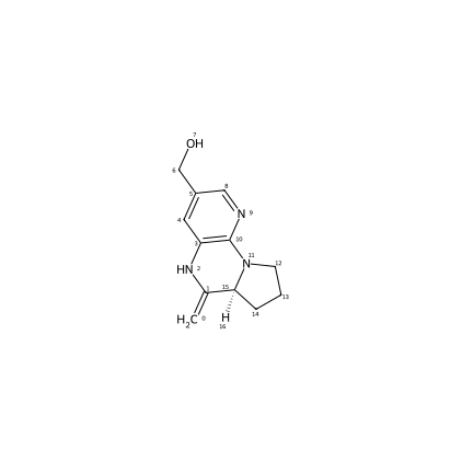 C=C1Nc2cc(CO)cnc2N2CCC[C@@H]12